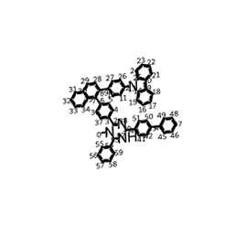 CN1C(c2ccc(-c3c(-c4ccc(-n5c6ccccc6c6ccccc65)cc4)ccc4ccccc34)cc2)=NC(c2ccc(-c3ccccc3)cc2)NC1c1ccccc1